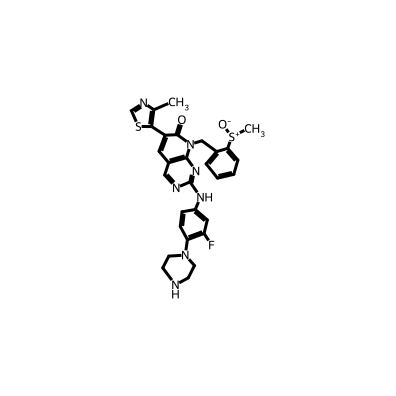 Cc1ncsc1-c1cc2cnc(Nc3ccc(N4CCNCC4)c(F)c3)nc2n(Cc2ccccc2[S+](C)[O-])c1=O